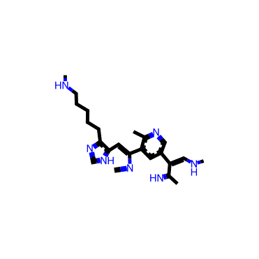 C=N/C(=C\c1[nH]cnc1CCCCCNC)c1cc(/C(=C/NC)C(C)=N)cnc1C